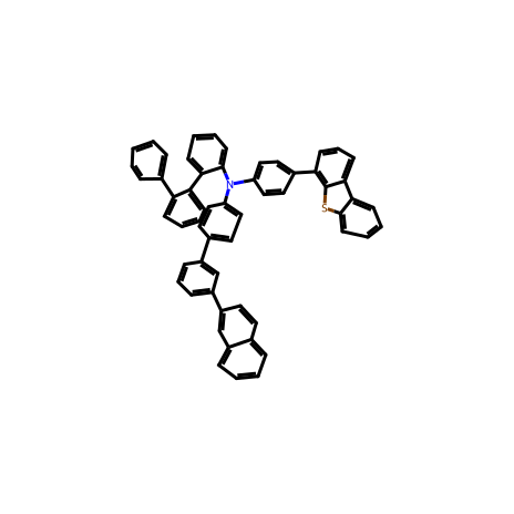 c1ccc(-c2ccccc2-c2ccccc2N(c2ccc(-c3cccc(-c4ccc5ccccc5c4)c3)cc2)c2ccc(-c3cccc4c3sc3ccccc34)cc2)cc1